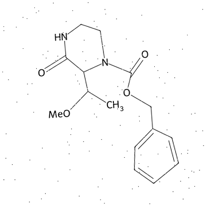 COC(C)C1C(=O)NCCN1C(=O)OCc1ccccc1